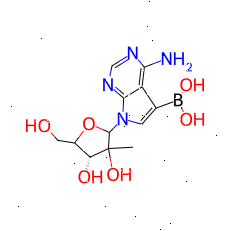 CC1(O)C(n2cc(B(O)O)c3c(N)ncnc32)OC(CO)[C@H]1O